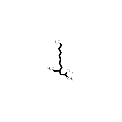 [CH2]C(C)CC(CC)CCCCCCCC